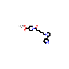 COC(=O)C1CCN(C(=O)CCCCCN2CCC[C@H]2c2cccnc2)CC1